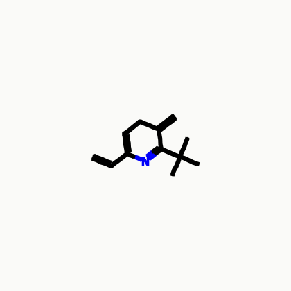 C=CC1=CCC(=C)C(C(C)(C)C)=N1